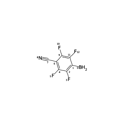 Bc1c(F)c(F)c(C#N)c(F)c1F